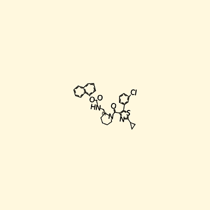 O=C(NC[C@@H]1CCCCN1C(=O)c1nc(C2CC2)sc1-c1cccc(Cl)c1)Oc1cccc2ccccc12